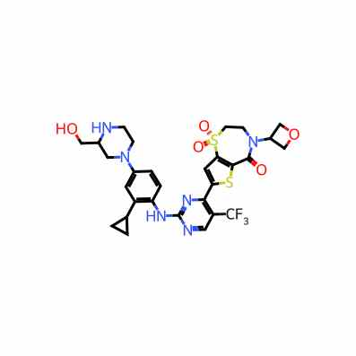 O=C1c2sc(-c3nc(Nc4ccc(N5CCNC(CO)C5)cc4C4CC4)ncc3C(F)(F)F)cc2S(=O)(=O)CCN1C1COC1